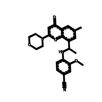 COc1cc(C#N)ccc1NC(C)c1cc(C)cc2c(=O)cc(N3CCOCC3)oc12